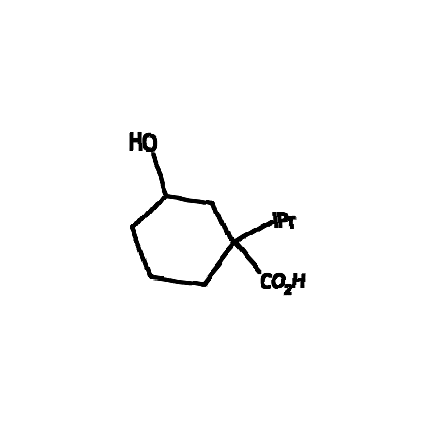 CC(C)C1(C(=O)O)CCCC(O)C1